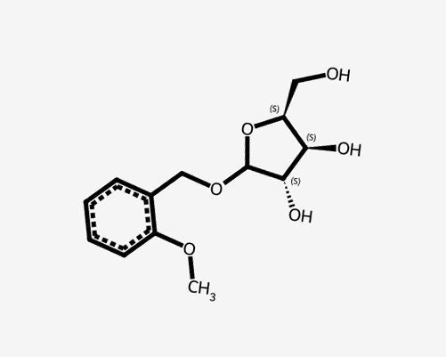 COc1ccccc1COC1O[C@@H](CO)[C@@H](O)[C@@H]1O